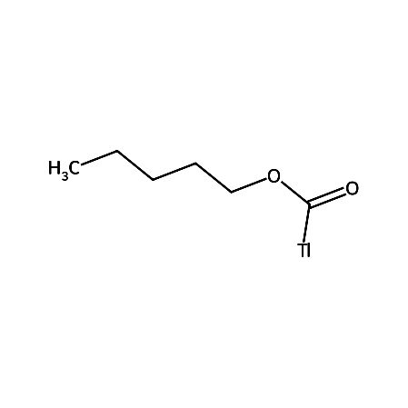 CCCCCO[C](=O)[Tl]